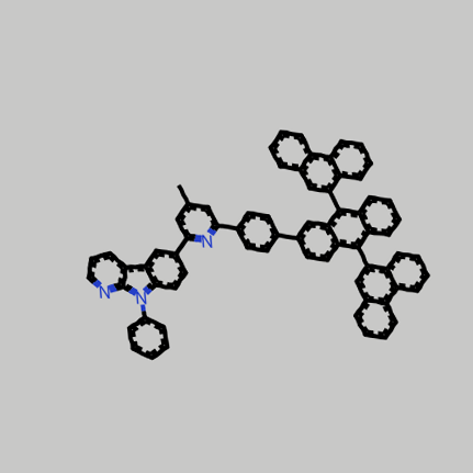 Cc1cc(-c2ccc(-c3ccc4c(-c5cc6ccccc6c6ccccc56)c5ccccc5c(-c5cc6ccccc6c6ccccc56)c4c3)cc2)nc(-c2ccc3c(c2)c2cccnc2n3-c2ccccc2)c1